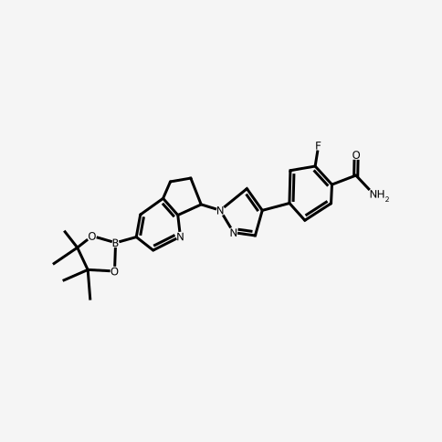 CC1(C)OB(c2cnc3c(c2)CCC3n2cc(-c3ccc(C(N)=O)c(F)c3)cn2)OC1(C)C